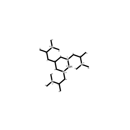 CC(CC1CN(CC(C)N(C)C)NN(CC(C)N(C)C)C1)N(C)C